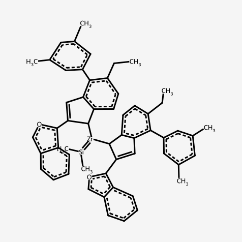 CCc1ccc2c(c1-c1cc(C)cc(C)c1)C=C(c1occ3ccccc13)[CH]2[Zr]([CH]1C(c2occ3ccccc23)=Cc2c1ccc(CC)c2-c1cc(C)cc(C)c1)=[Si](C)C